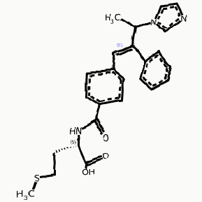 CSCC[C@H](NC(=O)c1ccc(/C=C(\c2ccccc2)C(C)n2ccnc2)cc1)C(=O)O